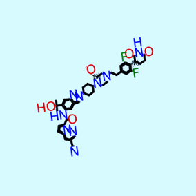 COC[C@@H]1CN(CCc2cc(F)c([C@H]3CCC(=O)NC3=O)c(F)c2)CCN1C1CCC(n2cc3cc(NC(=O)c4ccc5cc(C#N)cnn45)c(C(C)(C)O)cc3n2)CC1